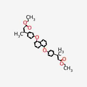 CCOC(=O)/C=C(/C)c1ccc(Oc2cccc3c(Oc4ccc(/C(C)=C/C(=O)OCC)cc4)cccc23)cc1